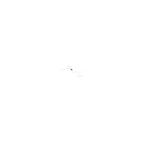 O=N[O-].P.[Li+]